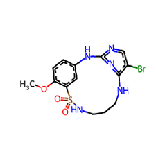 COc1ccc2cc1S(=O)(=O)NCCCNc1nc(ncc1Br)N2